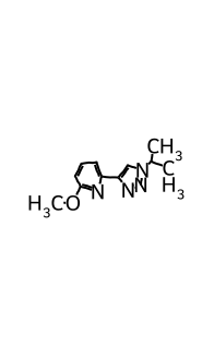 COc1cccc(-c2cn(C(C)C)nn2)n1